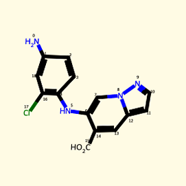 Nc1ccc(Nc2cn3nccc3cc2C(=O)O)c(Cl)c1